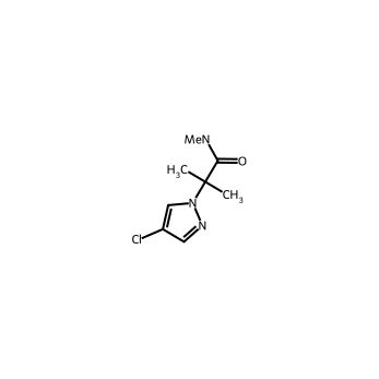 CNC(=O)C(C)(C)n1cc(Cl)cn1